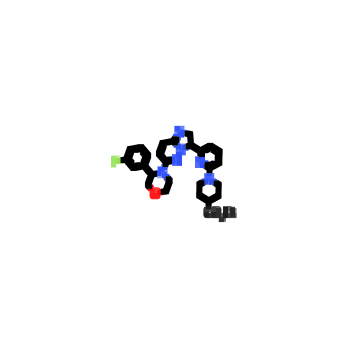 CCOC(=O)C1CCN(c2cccc(C3CN=C4C=CC(N5CCOCC5c5cccc(F)c5)=NN43)n2)CC1